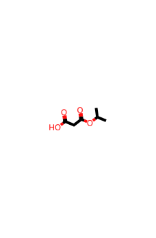 CC(C)OC(=O)CC(=O)O